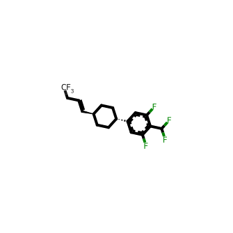 Fc1cc([C@H]2CC[C@H](C=CCC(F)(F)F)CC2)cc(F)c1C(F)F